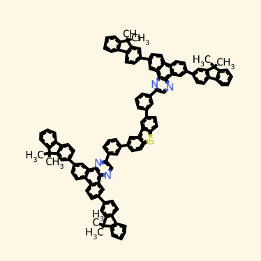 CC1(C)c2ccccc2-c2ccc(-c3ccc4c5ccc(-c6ccc7c(c6)C(C)(C)c6ccccc6-7)cc5c5nc(-c6cccc(-c7ccc8sc9ccc(-c%10cccc(-c%11cnc%12c%13cc(-c%14ccc%15c(c%14)C(C)(C)c%14ccccc%14-%15)ccc%13c%13ccc(-c%14ccc%15c(c%14)C(C)(C)c%14ccccc%14-%15)cc%13c%12n%11)c%10)cc9c8c7)c6)cnc5c4c3)cc21